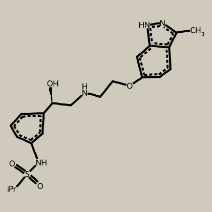 Cc1n[nH]c2cc(OCCNC[C@H](O)c3cccc(NS(=O)(=O)C(C)C)c3)ccc12